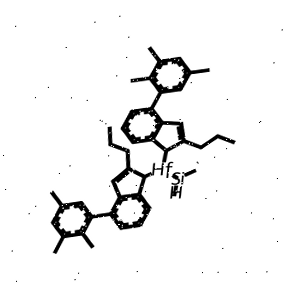 CCCC1=Cc2c(-c3cc(C)cc(C)c3C)cccc2[CH]1[Hf]([CH]1C(CCC)=Cc2c(-c3cc(C)cc(C)c3C)cccc21)[SiH](C)C